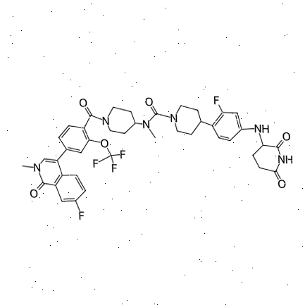 CN(C(=O)N1CCC(c2ccc(NC3CCC(=O)NC3=O)cc2F)CC1)C1CCN(C(=O)c2ccc(-c3cn(C)c(=O)c4cc(F)ccc34)cc2OC(F)(F)F)CC1